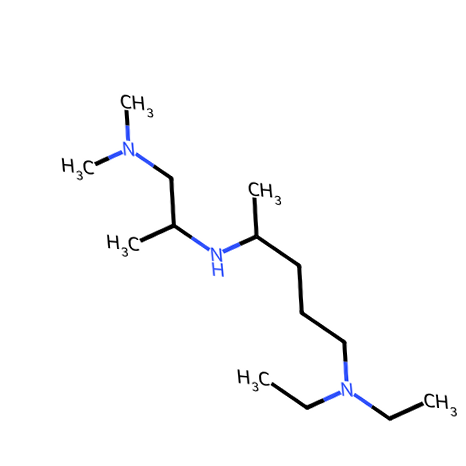 CCN(CC)CCCC(C)NC(C)CN(C)C